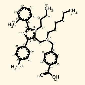 CCCCCCN(Cc1ccc(C(=O)O)cc1)Cc1c(-c2ccc(C)cc2)nc(-c2ccccc2C)n1CCCC